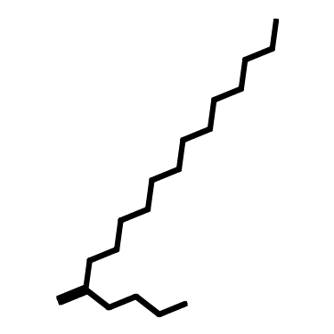 C=C(CCCC)CCCCCCCCCCCCC